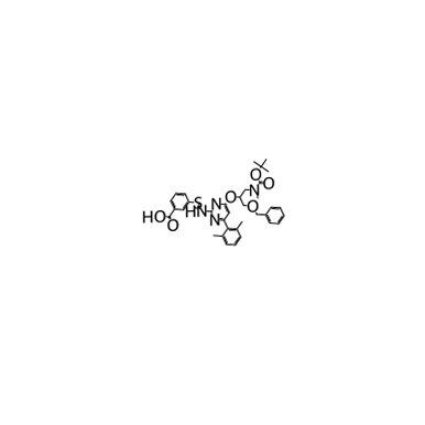 Cc1cccc(C)c1-c1cc(OC(COCc2ccccc2)CN(C)C(=O)OC(C)(C)C)nc(NSc2cccc(C(=O)O)c2)n1